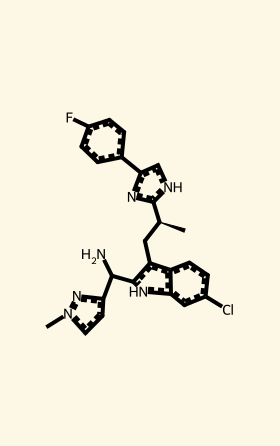 C[C@@H](Cc1c(C(N)c2ccn(C)n2)[nH]c2cc(Cl)ccc12)c1nc(-c2ccc(F)cc2)c[nH]1